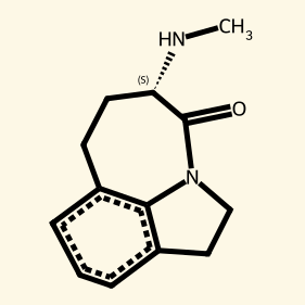 CN[C@H]1CCc2cccc3c2N(CC3)C1=O